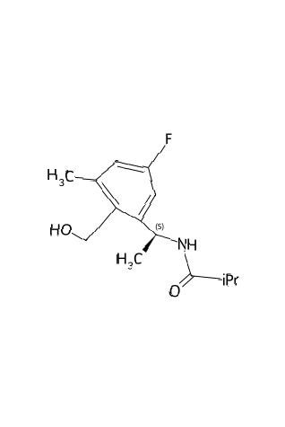 Cc1cc(F)cc([C@H](C)NC(=O)C(C)C)c1CO